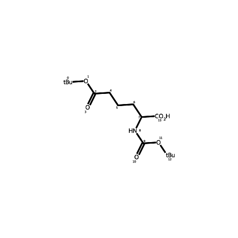 CC(C)(C)OC(=O)CCCC(NC(=O)OC(C)(C)C)C(=O)O